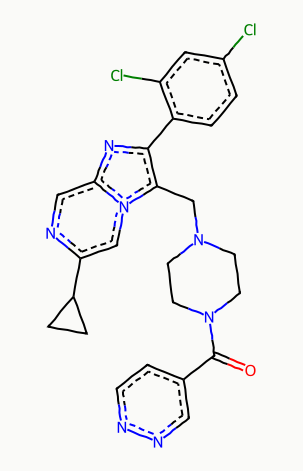 O=C(c1ccnnc1)N1CCN(Cc2c(-c3ccc(Cl)cc3Cl)nc3cnc(C4CC4)cn23)CC1